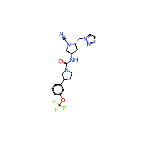 N#CN1C[C@H](NC(=O)N2CCC(c3cccc(OC(F)(F)F)c3)C2)C[C@H]1Cn1cccn1